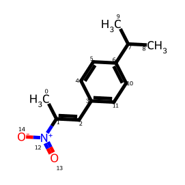 C/C(=C\c1ccc(C(C)C)cc1)[N+](=O)[O-]